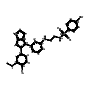 COc1cc(-c2nc3occn3c2-c2ccnc(NCCNS(=O)(=O)c3ccc(F)cc3)n2)ccc1F